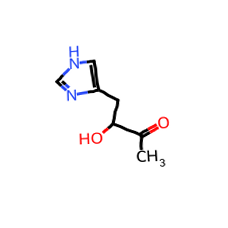 CC(=O)C(O)Cc1c[nH]cn1